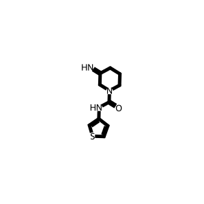 N=C1CCCN(C(=O)Nc2ccsc2)C1